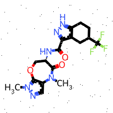 CN1C(=O)[C@@H](NC(=O)c2n[nH]c3c2CC(C(F)(F)F)CC3)COc2c1cnn2C